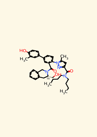 CCCCN(CCCC)C(=O)c1cc(C)n(-c2ccc(-c3ccc(O)c(C)c3)cc2C(=O)N2Cc3ccccc3C[C@H]2CO)n1